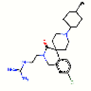 CC(C)C1CCC(N2CCC3(CC2)C(=O)N(CCNC(=N)N)Cc2cc(Cl)ccc23)CC1